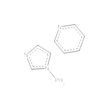 Pn1ccnc1.c1ccncc1